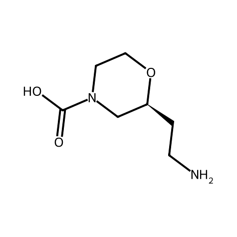 NCC[C@H]1CN(C(=O)O)CCO1